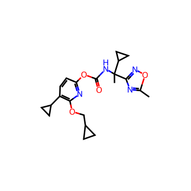 Cc1nc(C(C)(NC(=O)Oc2ccc(C3CC3)c(OCC3CC3)n2)C2CC2)no1